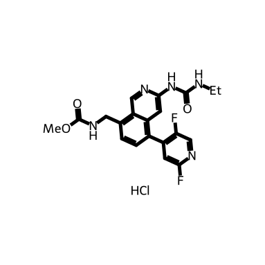 CCNC(=O)Nc1cc2c(-c3cc(F)ncc3F)ccc(CNC(=O)OC)c2cn1.Cl